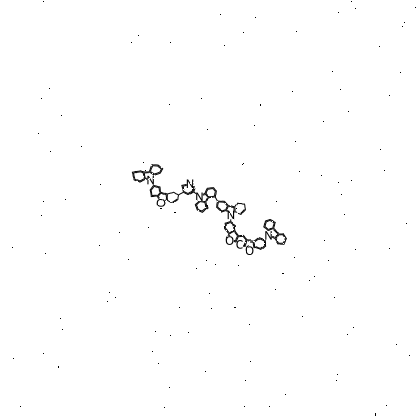 C1=Cc2c(c3cc(-c4cccc5c4c4ccccc4n5-c4cncc(C5C=Cc6oc7ccc(-n8c9ccccc9c9ccccc98)cc7c6C5)c4)ccc3n2-c2ccc3oc4cc5oc6ccc(-n7c8ccccc8c8ccccc87)cc6c5cc4c3c2)CC1